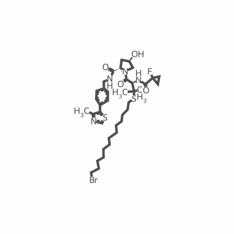 Cc1ncsc1-c1ccc(CNC(=O)[C@@H]2C[C@@H](O)CN2C(=O)[C@@H](NC(=O)C2(F)CC2)C(C)(C)SCCCCCCCCCCCCCBr)cc1